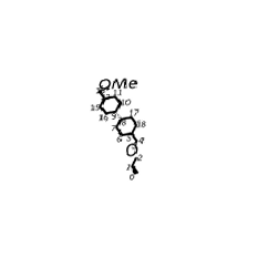 C=CCOCC1CCC([C@H]2CC[C@H](COC)CC2)CC1